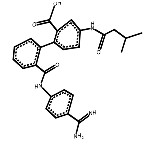 CC(C)CC(=O)Nc1ccc(-c2ccccc2C(=O)Nc2ccc(C(=N)N)cc2)c(C(=O)O)c1